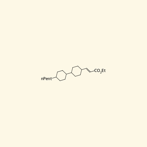 CCCCCC1CCC(C2CCC(C=CC(=O)OCC)CC2)CC1